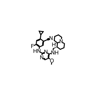 COc1cnc(Nc2cc(C#N)c(C3CC3)cc2F)nc1NC[C@@H]1CCCN2CCCC[C@H]12